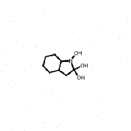 ON1C2CCCCC2CC1(O)O